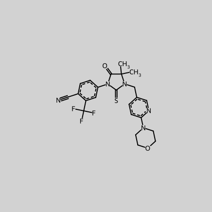 CC1(C)C(=O)N(c2ccc(C#N)c(C(F)(F)F)c2)C(=S)N1Cc1ccc(N2CCOCC2)nc1